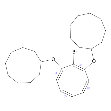 BrC1=C(OC2CCCCCCCC2)/C=C\C=C/C=C\1OC1CCCCCCCC1